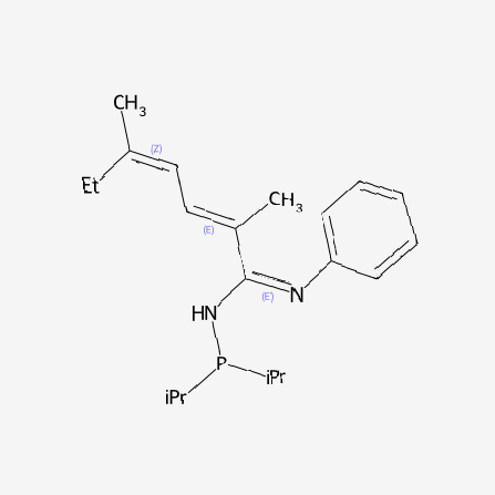 CC\C(C)=C/C=C(C)/C(=N\c1ccccc1)NP(C(C)C)C(C)C